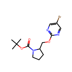 CC(C)(C)OC(=O)N1CCCC1COc1ncc(Br)cn1